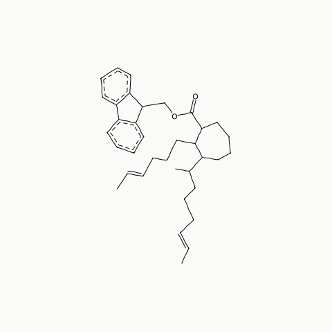 CC=CCCCC(C)C1CCCCC(C(=O)OCC2c3ccccc3-c3ccccc32)C1CCCC=CC